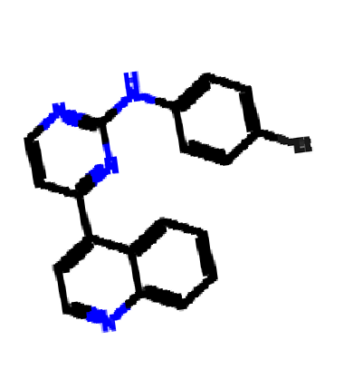 CCc1ccc(Nc2nccc(-c3ccnc4ccccc34)n2)cc1